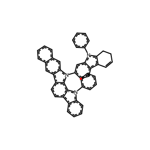 C1=Cc2c(n(-c3ccccc3)c3cc(-n4c5cc6ccccc6cc5c5ccc6c7ccccc7n(-c7ccccc7)c6c54)ccc23)CC1